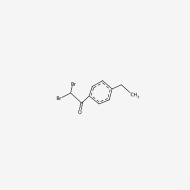 CCc1ccc(C(=O)C(Br)Br)cc1